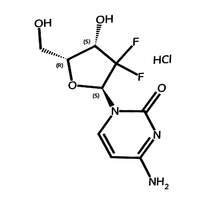 Cl.Nc1ccn([C@H]2O[C@H](CO)[C@H](O)C2(F)F)c(=O)n1